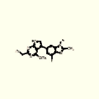 COc1nc(CC(C)C)nc2[nH]cc(-c3cc(F)c4nc(C)n(C(C)C)c4c3)c12